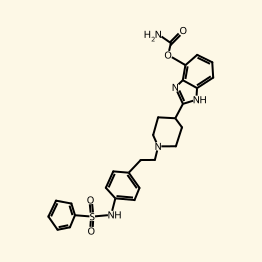 NC(=O)Oc1cccc2[nH]c(C3CCN(CCc4ccc(NS(=O)(=O)c5ccccc5)cc4)CC3)nc12